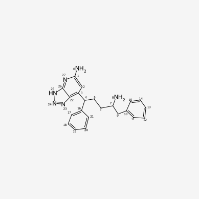 Nc1cc(C(CCC(N)Cc2ccccc2)c2ccccc2)c2nn[nH]c2n1